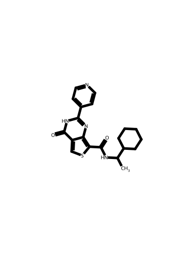 CC(NC(=O)c1scc2c(=O)[nH]c(-c3ccncc3)nc12)C1CCCCC1